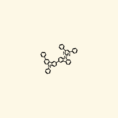 c1ccc(-c2ccc3c(c2)c2cc(-c4ccc5c(c4)c4ccccc4n5-c4nc(-c5ccccc5)cc(-c5ccccc5)n4)ccc2n3-c2ccccc2)cc1